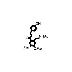 CCOc1cc(C(=O)CCc2ccc(O)cc2)c(CCNC(C)=O)cc1OC